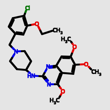 CCOc1cc(CN2CCC(Nc3nc(OC)c4cc(OC)c(OC)cc4n3)CC2)ccc1Cl